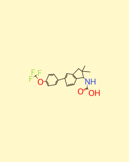 CC1(C)Cc2cc(-c3ccc(OC(F)(F)F)cc3)ccc2C1NC(=O)O